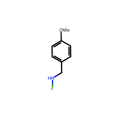 COc1ccc(CNF)cc1